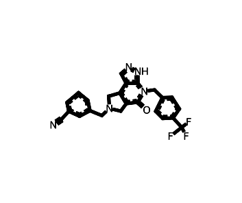 N#Cc1cccc(CN2Cc3c(c4cn[nH]c4n(Cc4ccc(C(F)(F)F)cc4)c3=O)C2)c1